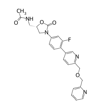 CC(=O)NC[C@H]1CN(c2ccc(-c3ccc(COCc4ccccn4)nc3)c(F)c2)C(=O)O1